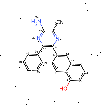 N#Cc1nc(-c2ccc3c(O)cccc3c2)c(-c2ccccc2)nc1N